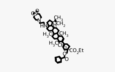 C=C(C)[C@@H]1CC[C@]2(NCCN3CCS(=O)(=O)CC3)CCC3[C@H](CCC4[C@@]3(C)CCC3C(C)(C)C(C5=CC[C@@](COC(=O)c6ccccc6)(C(=O)OCC)CC5)=CC[C@@]34C)C12